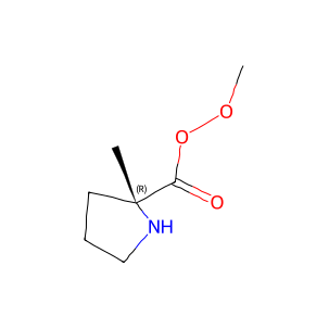 COOC(=O)[C@@]1(C)CCCN1